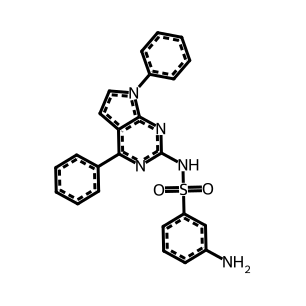 Nc1cccc(S(=O)(=O)Nc2nc(-c3ccccc3)c3ccn(-c4ccccc4)c3n2)c1